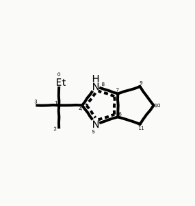 CCC(C)(C)c1nc2c([nH]1)CCC2